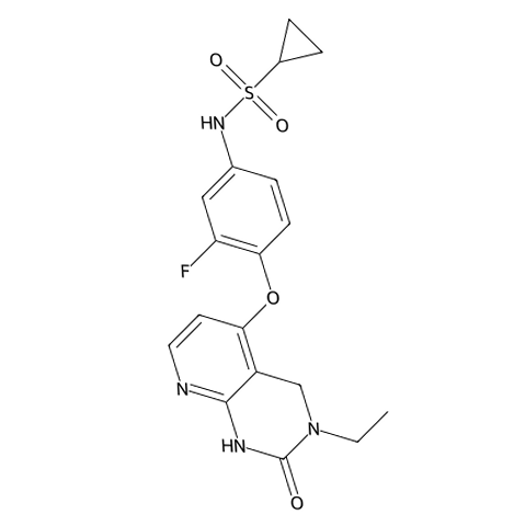 CCN1Cc2c(Oc3ccc(NS(=O)(=O)C4CC4)cc3F)ccnc2NC1=O